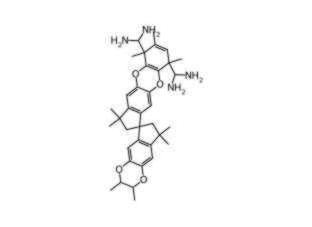 CC1=CC(C)(C(N)N)C2=C(Oc3cc4c(cc3O2)C2(CC4(C)C)CC(C)(C)c3cc4c(cc32)OC(C)C(C)O4)C1(C)C(N)N